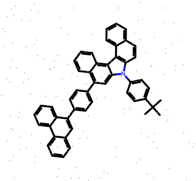 CC(C)(C)c1ccc(-n2c3ccc4ccccc4c3c3c4ccccc4c(-c4ccc(-c5cc6ccccc6c6ccccc56)cc4)cc32)cc1